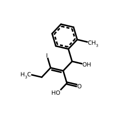 CCC(I)=C(C(=O)O)C(O)c1ccccc1C